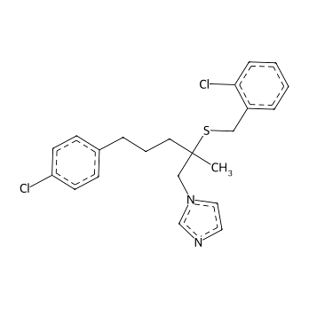 CC(CCCc1ccc(Cl)cc1)(Cn1ccnc1)SCc1ccccc1Cl